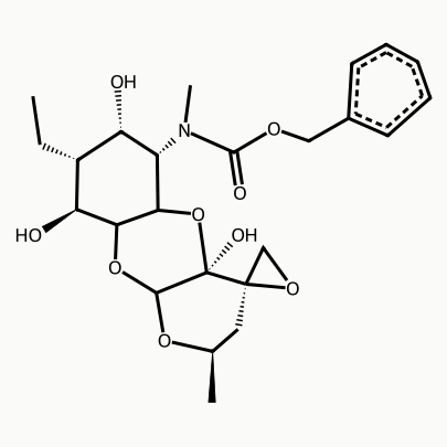 CC[C@@H]1[C@H](O)[C@H](N(C)C(=O)OCc2ccccc2)C2O[C@]3(O)C(OC2[C@H]1O)O[C@H](C)C[C@@]31CO1